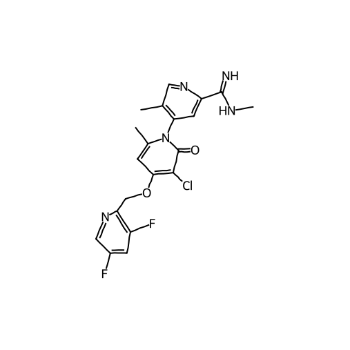 CNC(=N)c1cc(-n2c(C)cc(OCc3ncc(F)cc3F)c(Cl)c2=O)c(C)cn1